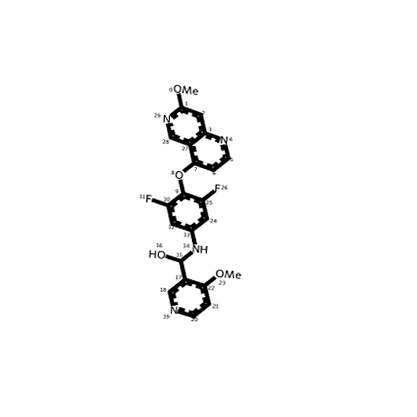 COc1cc2nccc(Oc3c(F)cc(NC(O)c4cnccc4OC)cc3F)c2cn1